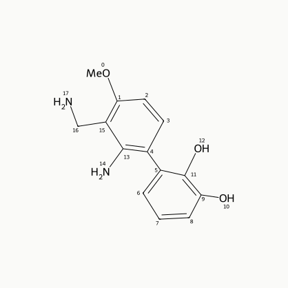 COc1ccc(-c2cccc(O)c2O)c(N)c1CN